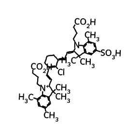 Cc1cc(C)c2c(c1)C(C)(C)C(/C=C/C1=C(Cl)C(=C/C=C3/N(CCCC(=O)O)c4c(C)cc(S(=O)(=O)O)cc4C3(C)C)/CCC1)=[N+]2CCCC(=O)O